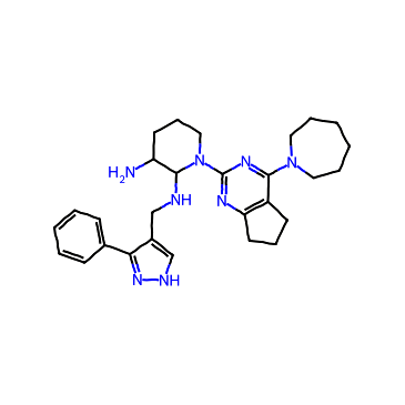 NC1CCCN(c2nc3c(c(N4CCCCCC4)n2)CCC3)C1NCc1c[nH]nc1-c1ccccc1